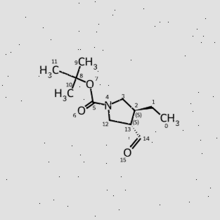 CC[C@@H]1CN(C(=O)OC(C)(C)C)C[C@H]1C=O